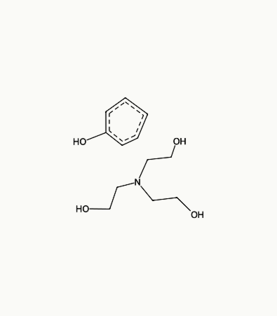 OCCN(CCO)CCO.Oc1ccccc1